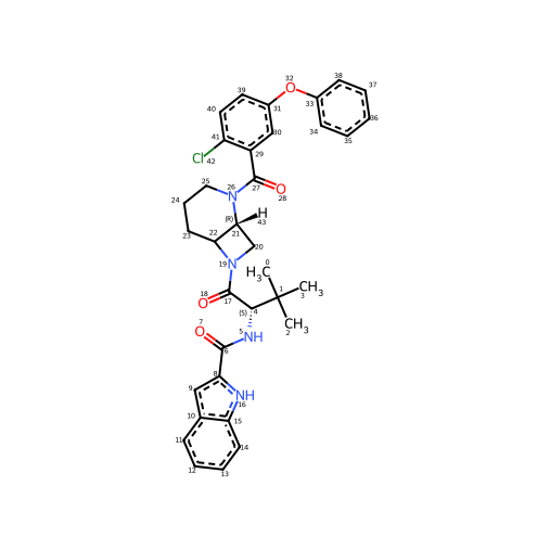 CC(C)(C)[C@H](NC(=O)c1cc2ccccc2[nH]1)C(=O)N1C[C@@H]2C1CCCN2C(=O)c1cc(Oc2ccccc2)ccc1Cl